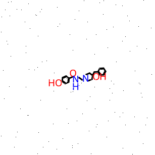 O=C(NCCN1CCC(O)(Cc2ccccc2)CC1)c1ccc(O)cc1